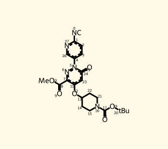 [C-]#[N+]c1ccc(-n2nc(C(=O)OC)c(OC3CCN(C(=O)OC(C)(C)C)CC3)cc2=O)cn1